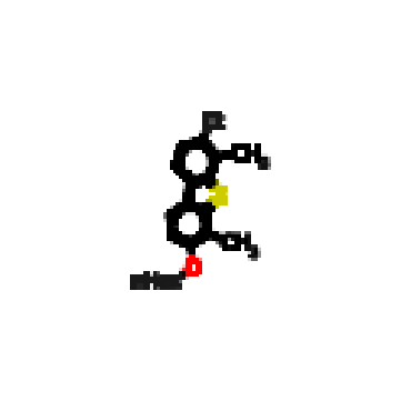 CCCCCCOc1ccc2c(sc3c(C)c(CC)ccc32)c1C